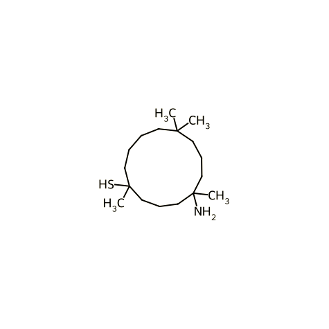 CC1(C)CCCCC(C)(S)CCCC(C)(N)CCC1